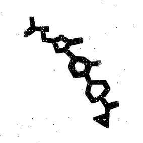 CC(=S)NCC1CN(c2ccc(N3CCN(C(=S)C4CC4)CC3)c(F)c2)C(=O)O1